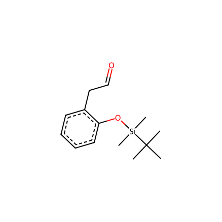 CC(C)(C)[Si](C)(C)Oc1ccccc1CC=O